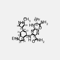 CCC[C@@H](Nc1nnc(C(N)=O)c(Nc2cc(-c3cnn(C)c3)cc3c2ccn3CC)n1)C(N)=O